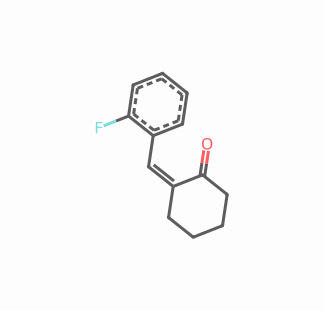 O=C1CCCCC1=Cc1ccccc1F